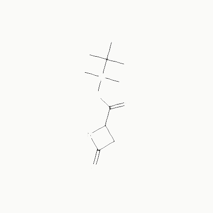 CC(C)(C)[Si](C)(C)OC(=O)C1CC(=O)N1